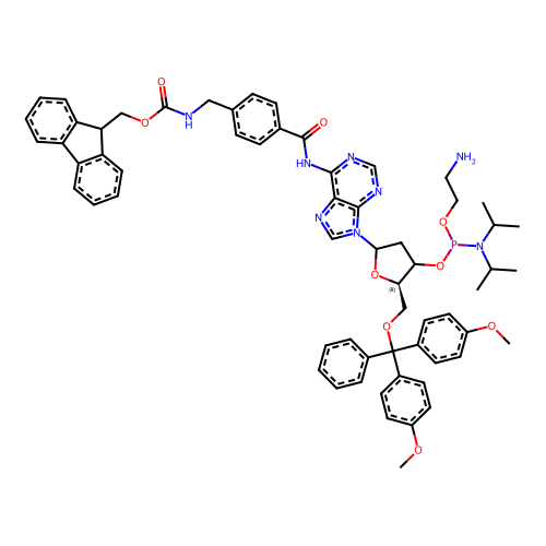 COc1ccc(C(OC[C@H]2OC(n3cnc4c(NC(=O)c5ccc(CNC(=O)OCC6c7ccccc7-c7ccccc76)cc5)ncnc43)CC2OP(OCCN)N(C(C)C)C(C)C)(c2ccccc2)c2ccc(OC)cc2)cc1